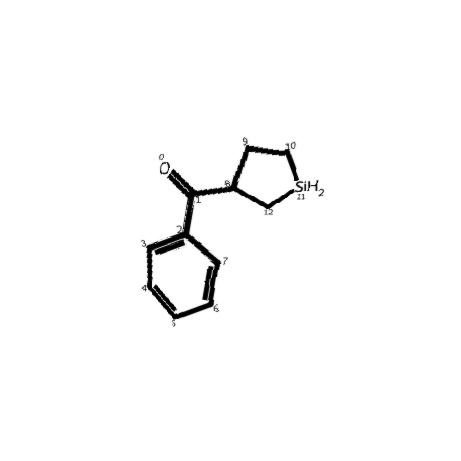 O=C(c1ccccc1)C1CC[SiH2]C1